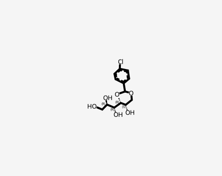 OC[C@@H](O)[C@@H](O)[C@@H]1OC(c2ccc(Cl)cc2)OC[C@@H]1O